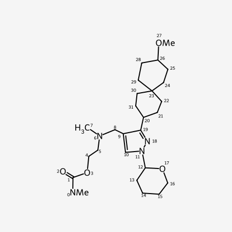 CNC(=O)OCCN(C)Cc1cn(C2CCCCO2)nc1C1CCC2(CCC(OC)CC2)CC1